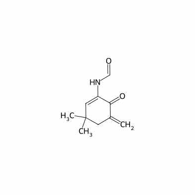 C=C1CC(C)(C)C=C(NC=O)C1=O